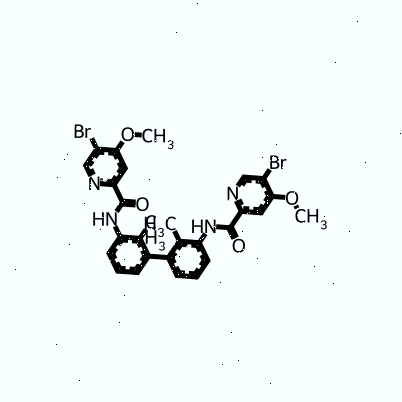 COc1cc(C(=O)Nc2cccc(-c3cccc(NC(=O)c4cc(OC)c(Br)cn4)c3C)c2C)ncc1Br